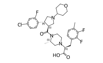 Cc1ccc(C[C@@H](C(=O)O)N2CCN(C(=O)[C@@H]3CN(C4CCOCC4)C[C@H]3c3ccc(Cl)cc3F)[C@@H](C)C2)c(F)c1F